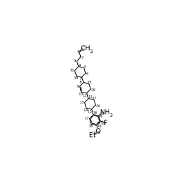 C=CCCC1CCC(C2C=CC(C3CCC(c4ccc(OCC)c(F)c4N)CC3)CC2)CC1